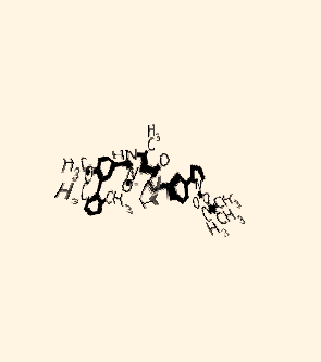 COc1ccc(-c2[nH]c(C)c(C(=O)Nc3cccc(-c4cccn4C(=O)OC(C)(C)C)c3)[n+]2[O-])cc1-c1c(C)cccc1C